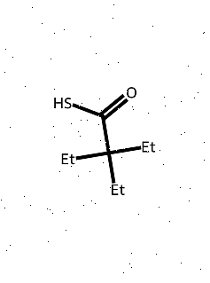 CCC(CC)(CC)C(=O)S